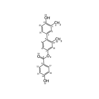 Cc1cc(-c2ccc(OC(=O)c3ccc(O)cc3)cc2C)ccc1O